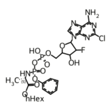 CCCCCCOC(=O)[C@H](C)NP(=O)(Oc1ccccc1)OP(=O)(O)OCC1OC(n2cnc3c(N)nc(Cl)nc32)C(F)C1O